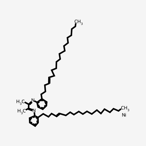 CCCCCCCCCCCCCCC=CCCCc1ccccc1N=C(C)C(C)=Nc1ccccc1CCCC=CCCCCCCCCCCCCCC.[Ni]